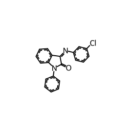 O=C1/C(=N\c2cccc(Cl)c2)c2ccccc2N1c1ccccc1